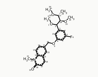 COC(c1cc(F)cc(OCc2ccc3c(ccc(=O)n3C)c2)c1)[C@H](OC)[C@@H](C)OC